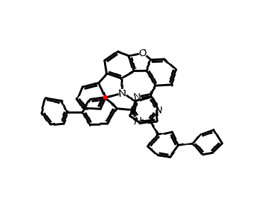 c1ccc(-c2ccc(-c3nc(-c4cccc(-c5ccccc5)c4)nc(-c4cccc5oc6ccc7c8ccccc8n(-c8ccccc8)c7c6c45)n3)cc2)cc1